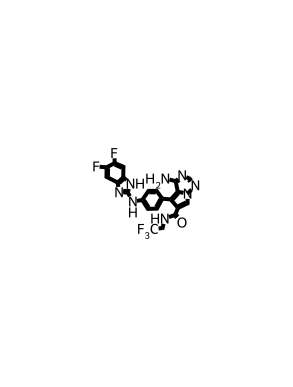 Nc1ncnn2cc(C(=O)NCC(F)(F)F)c(-c3ccc(Nc4nc5cc(F)c(F)cc5[nH]4)cc3)c12